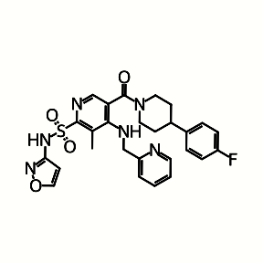 Cc1c(S(=O)(=O)Nc2ccon2)ncc(C(=O)N2CCC(c3ccc(F)cc3)CC2)c1NCc1ccccn1